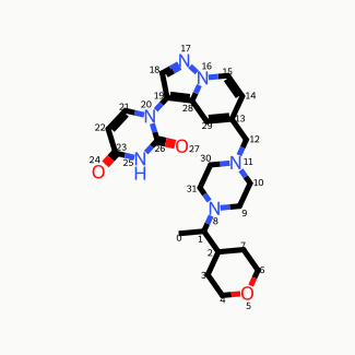 CC(C1CCOCC1)N1CCN(Cc2ccn3ncc(-n4ccc(=O)[nH]c4=O)c3c2)CC1